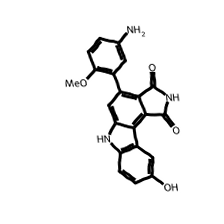 COc1ccc(N)cc1-c1cc2[nH]c3ccc(O)cc3c2c2c1C(=O)NC2=O